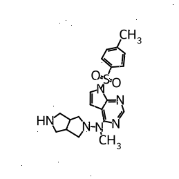 Cc1ccc(S(=O)(=O)n2ccc3c(N(C)N4CC5CNCC5C4)ncnc32)cc1